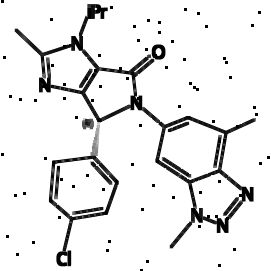 Cc1cc(N2C(=O)c3c(nc(C)n3C(C)C)[C@H]2c2ccc(Cl)cc2)cc2c1nnn2C